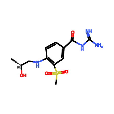 C[C@@H](O)CNc1ccc(C(=O)NC(=N)N)cc1S(C)(=O)=O